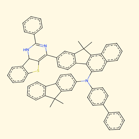 CC1(C)c2ccccc2-c2ccc(N(c3ccc(-c4ccccc4)cc3)c3cc4ccccc4c4c3-c3ccc(C5=C6Sc7ccccc7C6NC(c6ccccc6)=N5)cc3C4(C)C)cc21